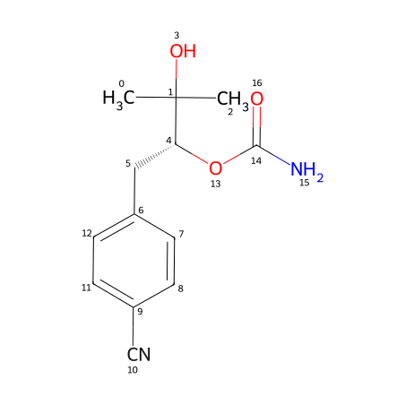 CC(C)(O)[C@@H](Cc1ccc(C#N)cc1)OC(N)=O